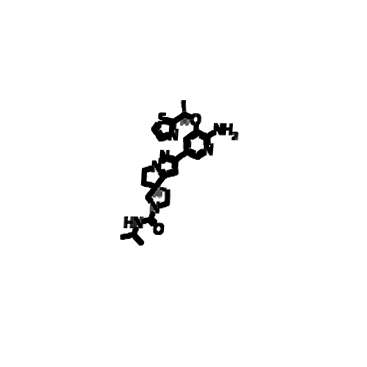 CC(C)NC(=O)N1CC[C@@]2(CCn3nc(-c4cnc(N)c(O[C@H](C)c5nccs5)c4)cc32)C1